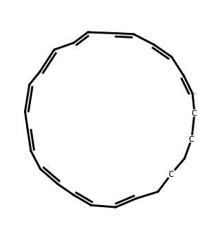 [C]1=C/C=C\C=C/C=C\C=C/C=C\C=C/C=C\C=C/C=C\CCCCC\1